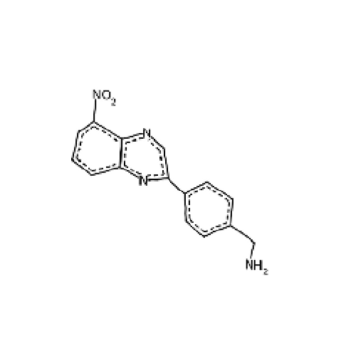 NCc1ccc(-c2cnc3c([N+](=O)[O-])cccc3n2)cc1